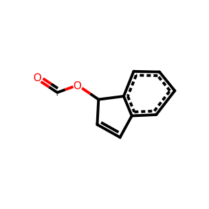 O=[C]OC1C=Cc2ccccc21